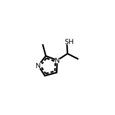 Cc1nccn1C(C)S